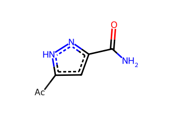 CC(=O)c1cc(C(N)=O)n[nH]1